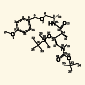 COc1ccc(COC[C@H](C)NC(=O)[C@@H](C)[C@@H](CN(C)C(=O)OC(C)(C)C)O[Si](C)(C)C(C)(C)C)cc1